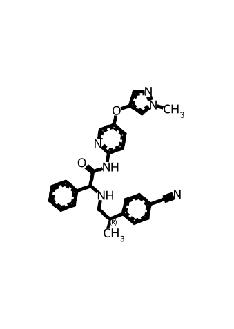 C[C@@H](CNC(C(=O)Nc1ccc(Oc2cnn(C)c2)cn1)c1ccccc1)c1ccc(C#N)cc1